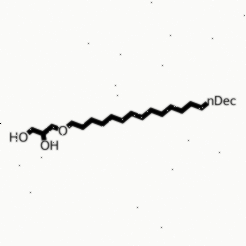 CCCCCCCCCCCCCCCCCCCCCCCCOCC(O)CO